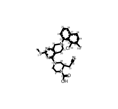 CSc1nc2c(c(N3CCN(C(=O)O)C(CC#N)C3)n1)CCN(c1cccc3ccc(F)c(Cl)c13)C2